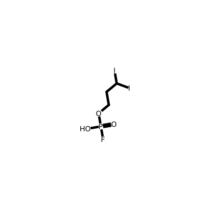 O=P(O)(F)OCCC(I)I